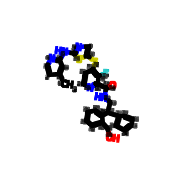 Cc1ccnc(Nc2ncc(Sc3ccnc(C(=O)NCC(c4ccccc4)c4ccccc4CO)c3F)s2)c1